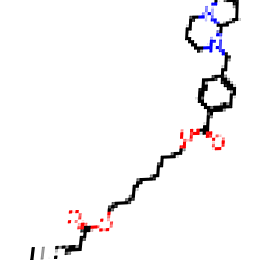 C=CC(=O)OCCCCCCOC(=O)c1ccc(CN2CCCN3CCCC32)cc1